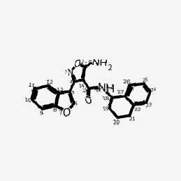 Nc1onc(-c2coc3ccccc23)c1C(=O)NC1CCCc2ccccc21